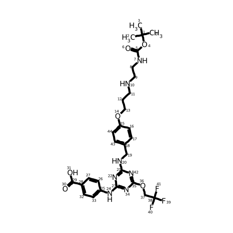 CC(C)(C)OC(=O)NCCNCCCOc1ccc(CNc2nc(Nc3ccc(C(=O)O)cc3)nc(OCC(F)(F)F)n2)cc1